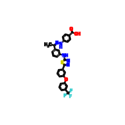 CC(=NNc1ccc(C(=O)O)cc1)c1cccc(Nc2nnc(-c3cccc(Oc4cccc(C(F)(F)F)c4)c3)s2)c1